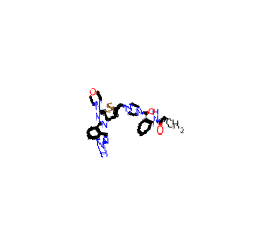 C=CC(=O)N[C@@H]1CCCC[C@@H]1C(=O)N1CCN(Cc2cc3nc(-c4cccc5[nH]ncc45)nc(N4CCOCC4)c3s2)CC1